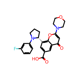 O=C(O)c1cc([C@H]2CCCN2c2cccc(F)c2)c2oc(N3CCOCC3)cc(=O)c2c1